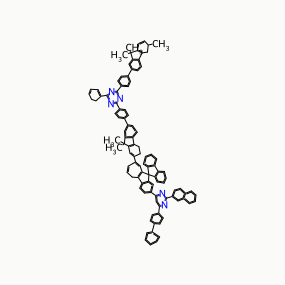 CC1C=CC2=C(C1)c1ccc(-c3ccc(-c4nc(C5=CC=CCC5)nc(-c5ccc(-c6ccc7c(c6)C(C)(C)C6=C7CCC(C7=CC8=C(CC=C7)c7ccc(-c9cc(-c%10ccc(-c%11ccccc%11)cc%10)nc(-c%10ccc%11ccccc%11c%10)n9)cc7C87c8ccccc8-c8ccccc87)=C6)cc5)n4)cc3)cc1C2(C)C